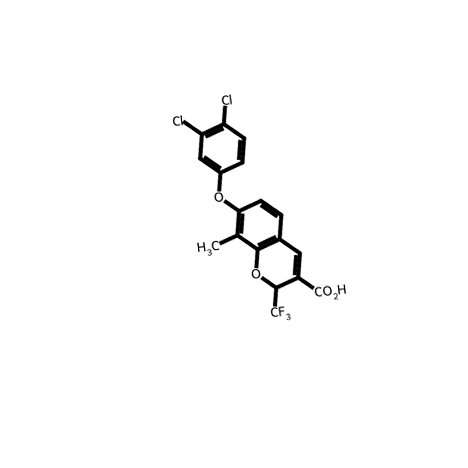 Cc1c(Oc2ccc(Cl)c(Cl)c2)ccc2c1OC(C(F)(F)F)C(C(=O)O)=C2